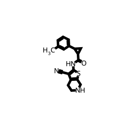 Cc1cccc(C2CC2C(=O)Nc2sc3c(c2C#N)CCNC3)c1